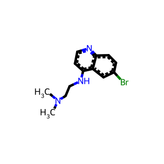 CN(C)CCNc1ccnc2ccc(Br)cc12